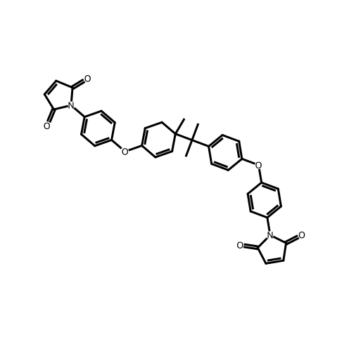 CC1(C(C)(C)c2ccc(Oc3ccc(N4C(=O)C=CC4=O)cc3)cc2)C=CC(Oc2ccc(N3C(=O)C=CC3=O)cc2)=CC1